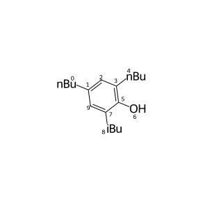 CCCCc1cc(CCCC)c(O)c(C(C)CC)c1